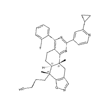 C[C@@]12Cc3cnoc3[C@](C)(CCCO)[C@H]1CCc1c(-c3ccccc3F)nc(-c3ccnc(C4CC4)c3)nc12